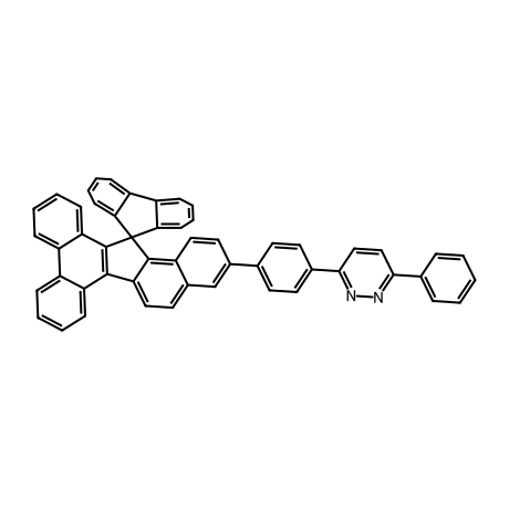 c1ccc(-c2ccc(-c3ccc(-c4ccc5c6c(ccc5c4)-c4c(c5ccccc5c5ccccc45)C64c5ccccc5-c5ccccc54)cc3)nn2)cc1